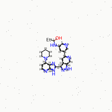 CCC(O)Nc1cncc(-c2cc3c(-c4nc5c(N6CCCCC6)ccnc5[nH]4)n[nH]c3cn2)c1